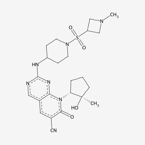 CN1CC(S(=O)(=O)N2CCC(Nc3ncc4cc(C#N)c(=O)n([C@@H]5CCC[C@@]5(C)O)c4n3)CC2)C1